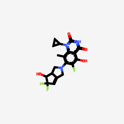 Cc1c(N2CC3=CC(F)(F)C(O)C3C2)c(F)c(O)c2c(=O)[nH]c(=O)n(C3CC3)c12